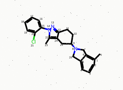 Cc1cccc2c1CN(C1CCc3nn(-c4ccccc4Cl)c(C)c3C1)C2